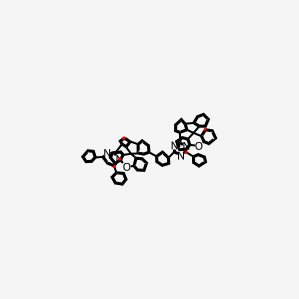 c1ccc(-c2cc(-c3ccccc3)nc(-c3cccc4c3C3(c5ccccc5Oc5ccccc53)c3cc(-c5cccc(-c6nc(-c7ccccc7)nc(-c7cccc8c7C7(c9ccccc9Oc9ccccc97)c7ccccc7-8)n6)c5)ccc3-4)n2)cc1